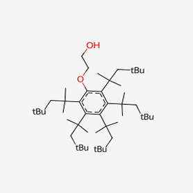 CC(C)(C)CC(C)(C)c1c(OCCO)c(C(C)(C)CC(C)(C)C)c(C(C)(C)CC(C)(C)C)c(C(C)(C)CC(C)(C)C)c1C(C)(C)CC(C)(C)C